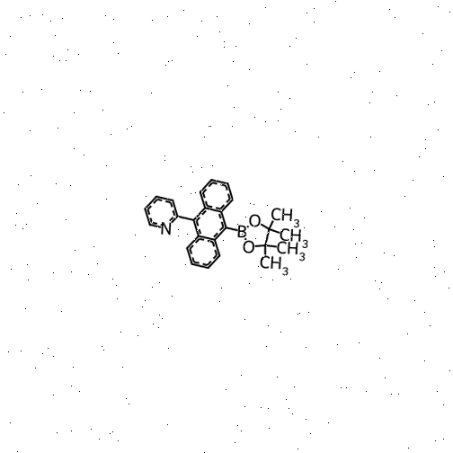 CC1(C)OB(c2c3ccccc3c(-c3ccccn3)c3ccccc23)OC1(C)C